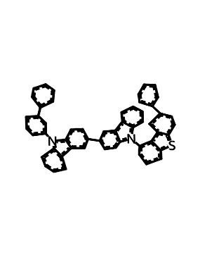 c1ccc(-c2cccc(-n3c4ccccc4c4cc(-c5ccc6c(c5)c5ccccc5n6-c5cccc6sc7ccc(-c8ccccc8)cc7c56)ccc43)c2)cc1